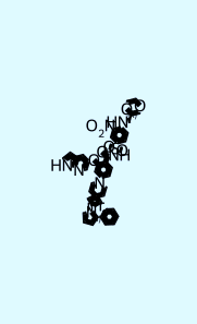 CC(C)c1ccccc1[C@@H]1CCCN1C1CC2(CCN(c3ccc(C(=O)NS(=O)(=O)c4ccc(NC[C@@H]5COCCO5)c([N+](=O)[O-])c4)c(Oc4cnc5[nH]ccc5c4)c3)CC2)C1